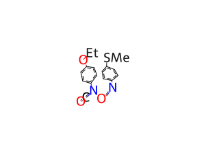 CCOc1ccc(N=C=O)cc1.CSc1ccc(N=C=O)cc1